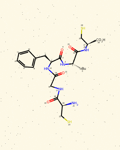 CCCC[C@H](NC(=O)[C@H](Cc1ccccc1)NC(=O)CNC(=O)[C@@H](N)CS)C(=O)N[C@@H](CS)C(=O)O